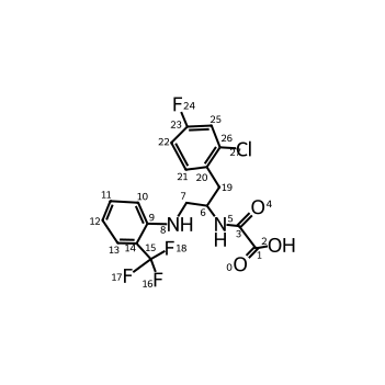 O=C(O)C(=O)NC(CNc1ccccc1C(F)(F)F)Cc1ccc(F)cc1Cl